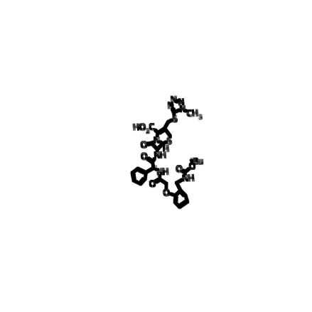 Cn1nnnc1SCC1=C(C(=O)O)N2C(=O)C(NC(=O)[C@@H](NC(=O)COc3ccccc3CNC(=O)OC(C)(C)C)c3ccccc3)[C@@H]2SC1